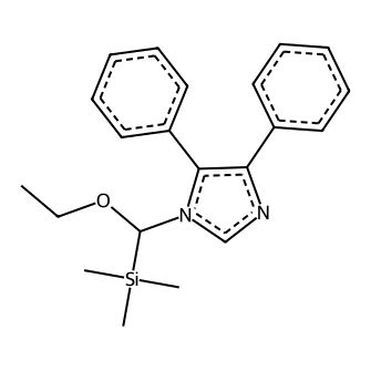 CCOC(n1cnc(-c2ccccc2)c1-c1ccccc1)[Si](C)(C)C